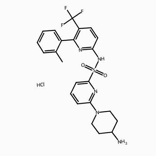 Cc1ccccc1-c1nc(NS(=O)(=O)c2cccc(N3CCC(N)CC3)n2)ccc1C(F)(F)F.Cl